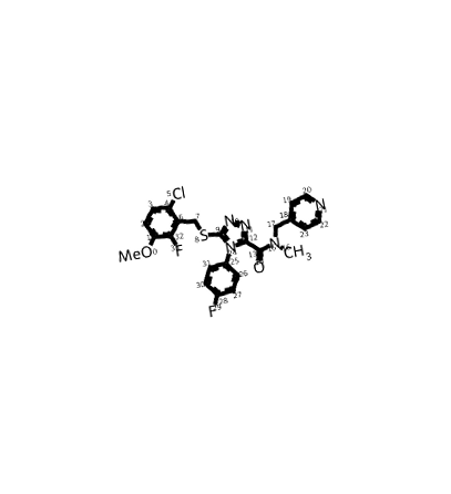 COc1ccc(Cl)c(CSc2nnc(C(=O)N(C)Cc3ccncc3)n2-c2ccc(F)cc2)c1F